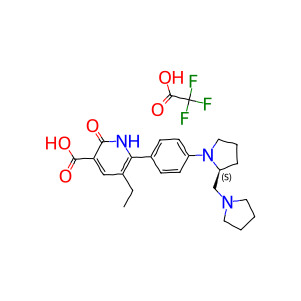 CCc1cc(C(=O)O)c(=O)[nH]c1-c1ccc(N2CCC[C@H]2CN2CCCC2)cc1.O=C(O)C(F)(F)F